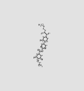 C=CCC/C(F)=C(\F)c1ccc(-c2cnc(OC(=O)c3cc(F)c(OCC)c(F)c3)nc2)c(F)c1